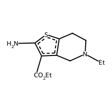 CCOC(=O)c1c(N)sc2c1CN(CC)CC2